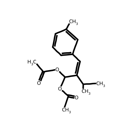 CC(=O)OC(OC(C)=O)C(=Cc1cccc(C)c1)C(C)C